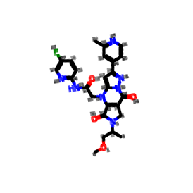 COCC(C)N1Cc2c(n(CC(=O)Nc3ccc(F)cn3)c3cc(-c4ccnc(C)c4)nn3c2=O)C1=O